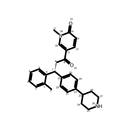 Cc1ccccc1[C@H](CC(=O)c1ccc(=O)n(C)c1)c1ccc(C2CCNCC2)cc1